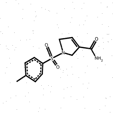 Cc1ccc(S(=O)(=O)N2CC=C(C(N)=O)C2)cc1